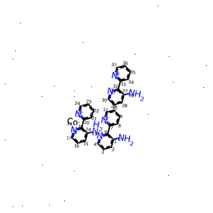 Nc1cccnc1-c1ccccn1.Nc1cccnc1-c1ccccn1.Nc1cccnc1-c1ccccn1.[Co]